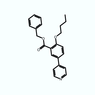 CCCCOc1ccc(-c2ccncc2)cc1C(=O)OCc1ccccc1